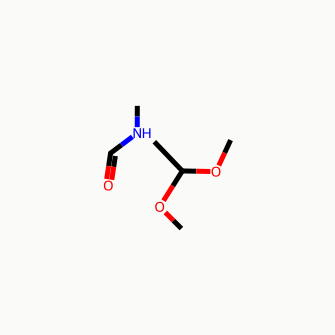 CNC=O.COC(C)OC